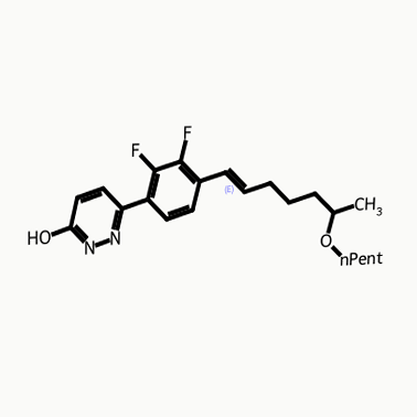 CCCCCOC(C)CCC/C=C/c1ccc(-c2ccc(O)nn2)c(F)c1F